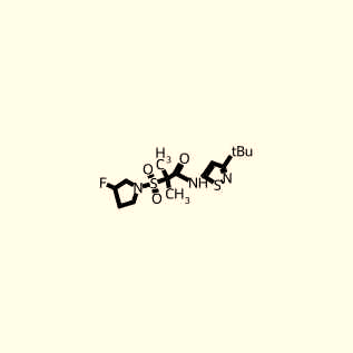 CC(C)(C)c1cc(NC(=O)C(C)(C)S(=O)(=O)N2CCC(F)C2)sn1